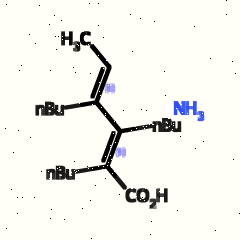 C/C=C(CCCC)/C(CCCC)=C(\CCCC)C(=O)O.N